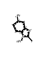 CCCn1c(C)nc2cc(C(C)C)ccc21